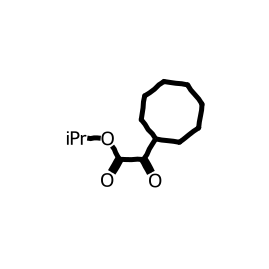 CC(C)OC(=O)C(=O)C1CCCCCCC1